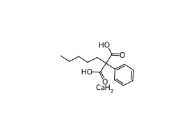 CCCCCC(C(=O)O)(C(=O)O)c1ccccc1.[CaH2]